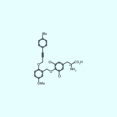 COc1ccc(OCC#Cc2ccc(C(C)(C)C)cc2)c(COc2c(Cl)cc(C[C@H](N)C(=O)O)cc2Cl)c1